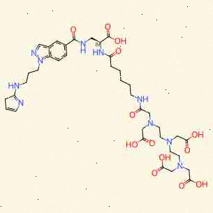 O=C(O)CN(CCN(CC(=O)O)CC(=O)O)CCN(CC(=O)O)CC(=O)NCCCCCC(=O)N[C@@H](CNC(=O)c1ccc2c(cnn2CCCNC2=NC=CC2)c1)C(=O)O